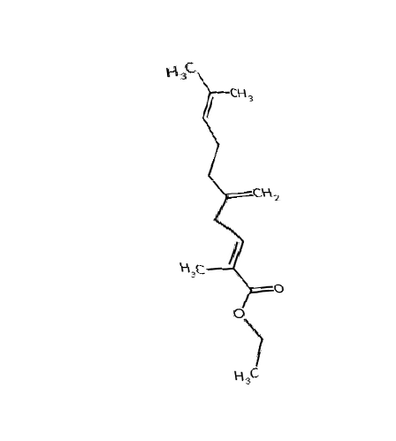 C=C(C/C=C(\C)C(=O)OCC)CCC=C(C)C